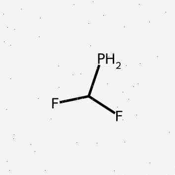 FC(F)P